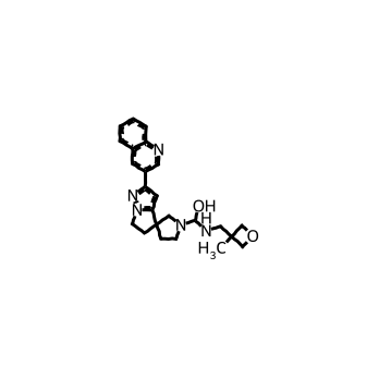 CC1(CNC(O)N2CCC3(CCn4nc(-c5cnc6ccccc6c5)cc43)C2)COC1